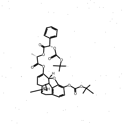 C[C@H](OC(=O)[C@@H](OC(=O)OC(C)(C)C)c1ccccc1)C(=O)OC1=CC[C@]2(O)C3Cc4ccc(OC(=O)OC(C)(C)C)c5c4[C@@]2(CCN3C)[C@H]1O5